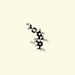 Cc1nc(N[C@H](C)c2cccc(C(C)F)c2F)c2cc(N3CCN(C(=O)CC#N)CC3)c(=O)[nH]c2n1